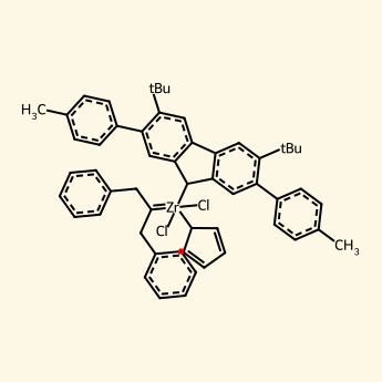 Cc1ccc(-c2cc3c(cc2C(C)(C)C)-c2cc(C(C)(C)C)c(-c4ccc(C)cc4)cc2[CH]3[Zr]([Cl])([Cl])(=[C](Cc2ccccc2)Cc2ccccc2)[CH]2C=CC=C2)cc1